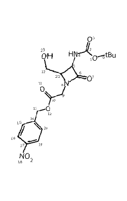 CC(C)(C)OC(=O)NC1C(=O)N(CC(=O)OCc2ccc([N+](=O)[O-])cc2)C1CO